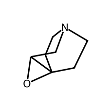 C1CC23CCN1CC2O3